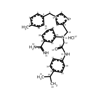 Cc1ccc(Cn2cnc(CN(CC(=O)Nc3ccc(C(C)C)cc3)c3cccc(C(=N)N)c3)c2)cc1.Cl